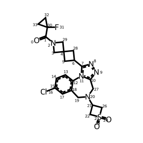 O=C(N1CC2(CC(c3nnc4n3-c3ccc(Cl)cc3CN(C3CS(=O)(=O)C3)C4)C2)C1)C1(F)CC1